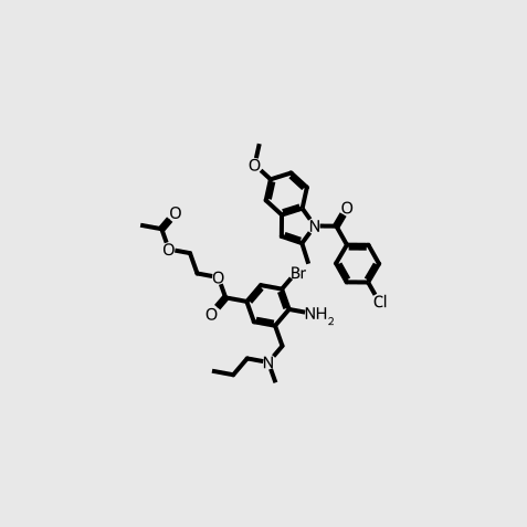 CCCN(C)Cc1cc(C(=O)OCCOC(C)=O)cc(Br)c1N.COc1ccc2c(c1)cc(C)n2C(=O)c1ccc(Cl)cc1